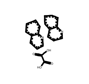 O=C(O)C(=O)O.c1ccc2ncccc2c1.c1ccc2ncccc2c1